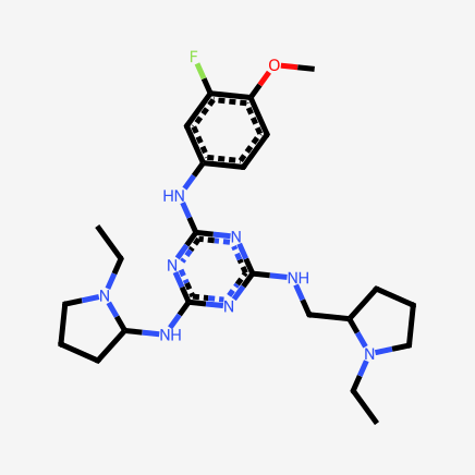 CCN1CCCC1CNc1nc(Nc2ccc(OC)c(F)c2)nc(NC2CCCN2CC)n1